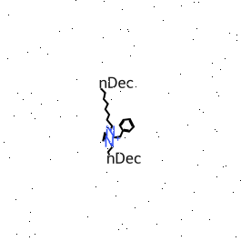 CCCCCCCCCCCCCCCCCCn1cc[n+](CCCCCCCCCCCC)c1Cc1ccccc1